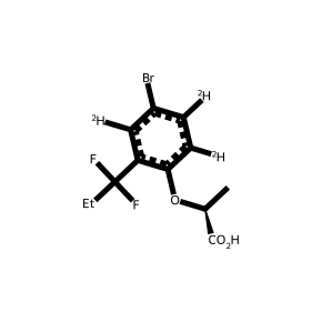 [2H]c1c([2H])c(O[C@@H](C)C(=O)O)c(C(F)(F)CC)c([2H])c1Br